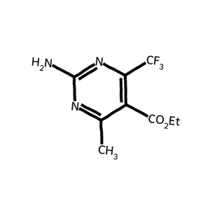 CCOC(=O)c1c(C)nc(N)nc1C(F)(F)F